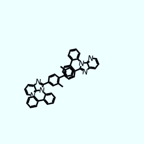 Cc1cc(-c2nc3cccnc3n2-c2ccccc2-c2ccccc2)ccc1-c1ccc(-c2nc3cccnc3n2-c2ccccc2-c2ccccc2)cc1C